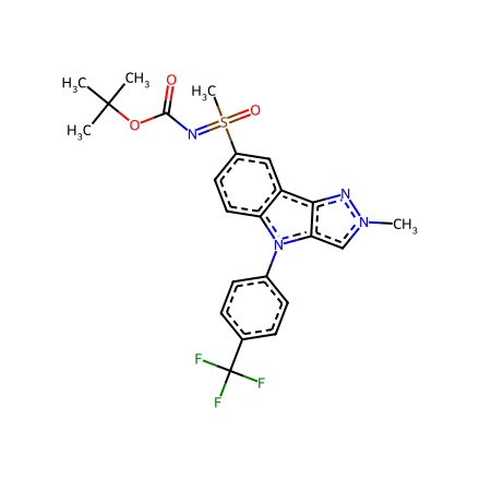 Cn1cc2c(n1)c1cc(S(C)(=O)=NC(=O)OC(C)(C)C)ccc1n2-c1ccc(C(F)(F)F)cc1